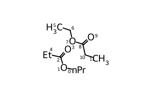 CCCOC(=O)CC.CCOC(=O)CC